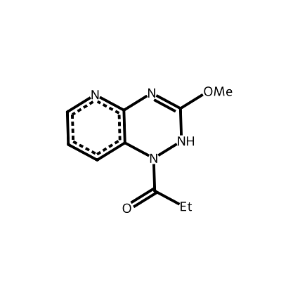 CCC(=O)N1NC(OC)=Nc2ncccc21